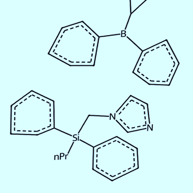 CCC[Si](Cn1ccnc1)(c1ccccc1)c1ccccc1.c1ccc(B(c2ccccc2)C2CC2)cc1